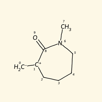 [CH2-][C+]1CCCCN(C)C1=O